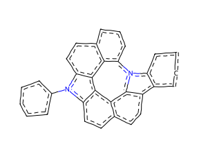 c1ccc(-n2c3ccc4cccc5c4c3c3c4c(ccc6c7ccccc7n5c64)ccc32)cc1